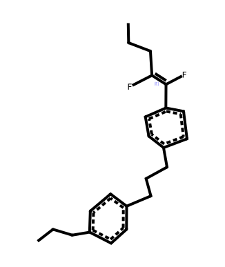 CCC/C(F)=C(\F)c1ccc(CCCc2ccc(CCC)cc2)cc1